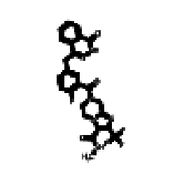 CNC(=O)c1c(C(F)(F)F)nc2n1CCN(C(=O)c1cc(Cc3n[nH]c(=O)c4ccccc34)ccc1F)C2